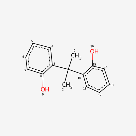 CC(C)(c1ccccc1O)c1ccccc1O